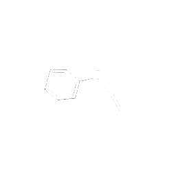 C=C=[SiH]c1ccccc1